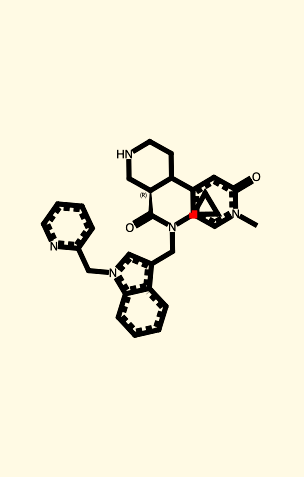 Cn1ccc(C2CCNC[C@@H]2C(=O)N(Cc2cn(Cc3ccccn3)c3ccccc23)C2CC2)cc1=O